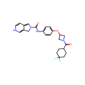 O=C(Nc1ccc(OC2CN(C(=O)C3CCC(F)(F)CC3)C2)cc1)N1C=C2C=CNC=C2C1